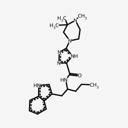 CCCC(Cc1c[nH]c2ccccc12)NC(=O)c1nnc(N2CCN(C)C(C)(C)C2)[nH]1